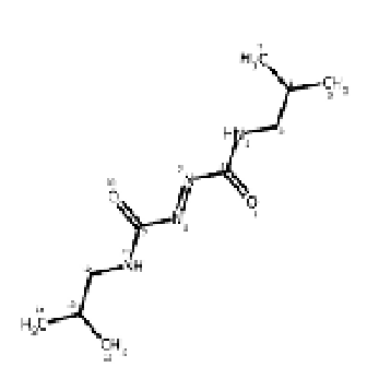 CC(C)CNC(=O)N=NC(=O)NCC(C)C